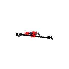 CC(=O)O.CCCCCCCCCCCCCCCCOCCCCCCCCCCCCCCCC.OCCN(CCO)CCO